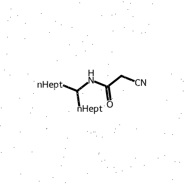 CCCCCCCC(CCCCCCC)NC(=O)CC#N